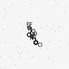 O=C(C1CCCc2nn(Cc3cccc(Cl)c3)c(=O)n21)N1CCC(F)(F)C1